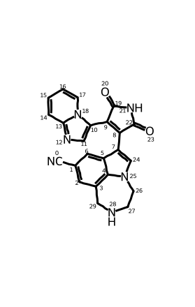 N#Cc1cc2c3c(c1)c(C1=C(c4cnc5ccccn45)C(=O)NC1=O)cn3CCNC2